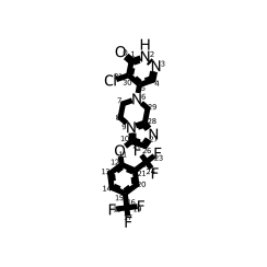 O=c1[nH]ncc(N2CCn3c(Oc4ccc(C(F)(F)F)cc4C(F)(F)F)cnc3C2)c1Cl